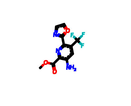 COC(=O)c1nc(-c2ncco2)c(C(F)(F)F)cc1N